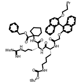 CNC(=N)NCCC[C@@H](NC(=O)[C@@H](CCCCNC(=O)OC(C)(C)C)NC(=O)COc1ccc2ccccc2c1-c1c(OCCC(C)C)ccc2ccccc12)C(=O)NC1(C(=O)OCc2ccccc2)CCCCC1